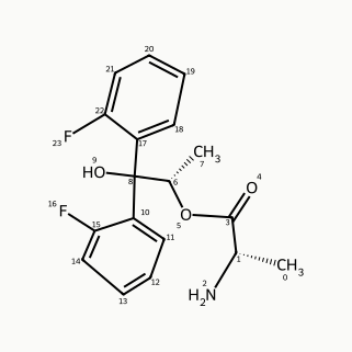 C[C@H](N)C(=O)O[C@@H](C)C(O)(c1ccccc1F)c1ccccc1F